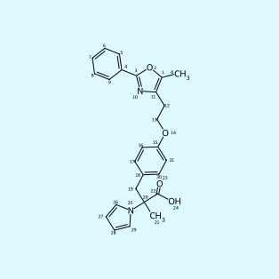 Cc1oc(-c2ccccc2)nc1CCOc1ccc(CC(C)(C(=O)O)n2cccc2)cc1